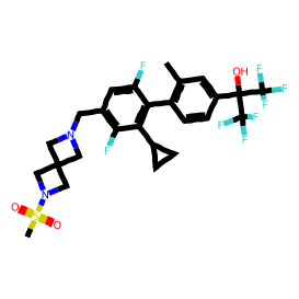 Cc1cc(C(O)(C(F)(F)F)C(F)(F)F)ccc1-c1c(F)cc(CN2CC3(C2)CN(S(C)(=O)=O)C3)c(F)c1C1CC1